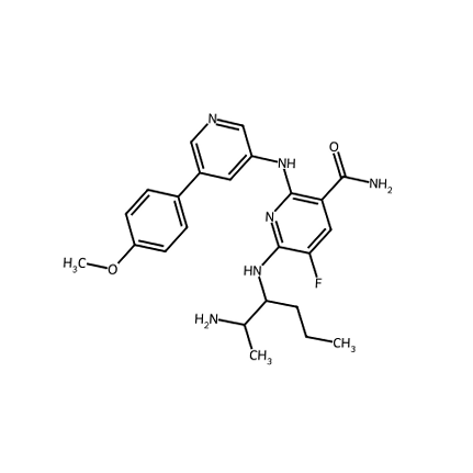 CCCC(Nc1nc(Nc2cncc(-c3ccc(OC)cc3)c2)c(C(N)=O)cc1F)C(C)N